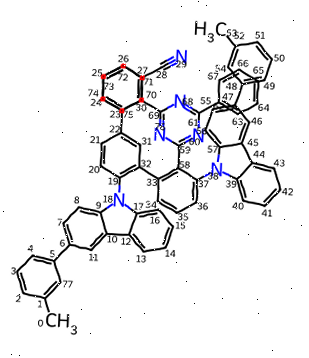 Cc1cccc(-c2ccc3c(c2)c2ccccc2n3-c2ccc(-c3cccc(C#N)c3)cc2-c2cccc(-n3c4ccccc4c4cc(-c5cccc(C)c5)ccc43)c2-c2nc(-c3ccccc3)nc(-c3ccccc3)n2)c1